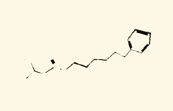 CC(C)[C@@H](C=O)N[PH](=O)OCCCCCCc1ccccc1